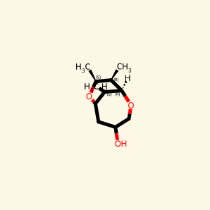 C[C@H]1[C@H]2OCC(O)CC(O[C@H]1C)[C@@H]2C